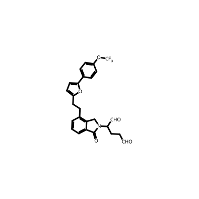 O=CCCC(C=O)N1Cc2c(CCc3ccc(-c4ccc(OC(F)(F)F)cc4)o3)cccc2C1=O